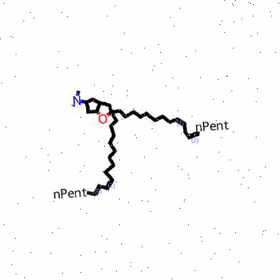 CCCCC/C=C\C/C=C\CCCCCCCCC1(CCCCCCCC/C=C\C=C\CCCCC)CC2CC(N(C)C)CC2O1